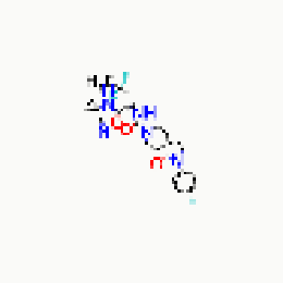 CC(F)(F)C[C@H](NC(=O)N1CCC2(CC1)CCN(c1ccc(F)cc1)C2=O)C(=O)NC1(C#N)CC1